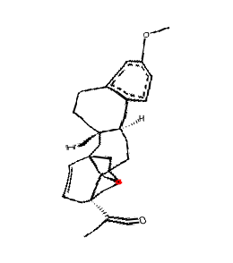 COc1ccc2c(c1)CC[C@@H]1[C@@H]2CC[C@@]2(C)C13C=C[C@]2(C(C)=O)CC3